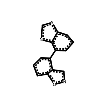 c1cc(-c2cccc3scnc23)c2cnoc2c1